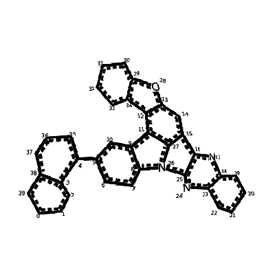 c1ccc2c(-c3ccc4c(c3)c3c5c(cc6c7nc8ccccc8nc7n4c63)oc3ccccc35)cccc2c1